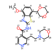 COc1ccc(C2COCCO2)c2sc(NC(=O)c3ccncc3CCN3CCOCC3)nc12